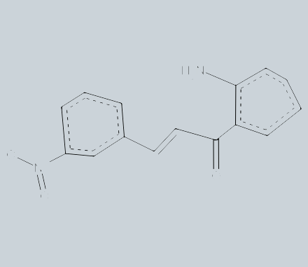 Nc1ccccc1C(=O)/C=C/c1cccc([N+](=O)[O-])c1